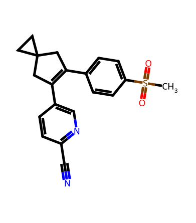 CS(=O)(=O)c1ccc(C2=C(c3ccc(C#N)nc3)CC3(CC3)C2)cc1